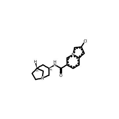 O=C(N[C@@H]1C[C@H]2CCN(C2)C1)c1ccc2cc(Cl)cn2c1